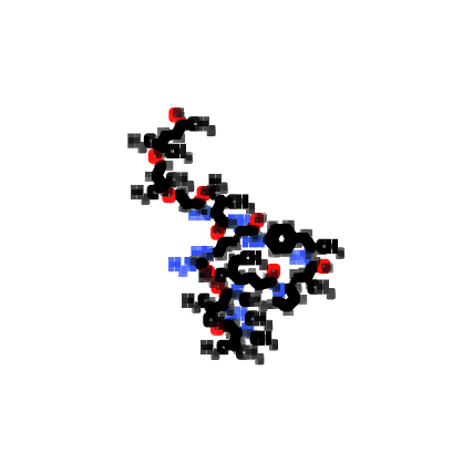 CC[C@H](C)C(CCC(=O)N1CCC[C@H]1C[C@@H](C)C(=O)N[C@H](C)Cc1ccc(NC(=O)[C@H](CCCNC(N)=O)NC(=O)C(NC(=O)CCOC(C)(C)CCOC(C)(C)CCC(C)=O)C(C)C)cc1)N(C)C(=O)C(NC(=O)C(C(C)C)N(C)C)C(C)C